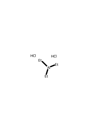 C[CH2][Al]([CH2]C)[CH2]C.Cl.Cl